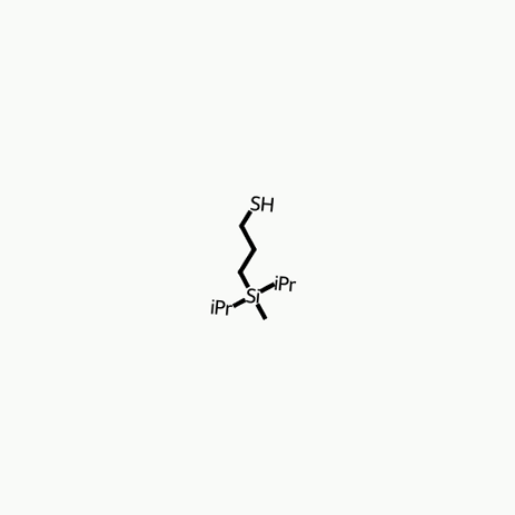 CC(C)[Si](C)(CCCS)C(C)C